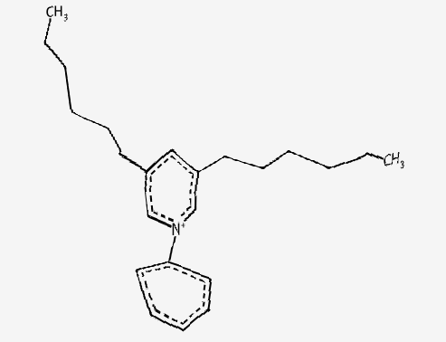 CCCCCCc1cc(CCCCCC)c[n+](-c2ccccc2)c1